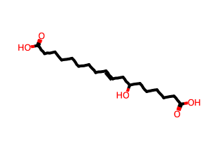 O=C(O)CCCCCCCC=CCC(O)CCCCCC(=O)O